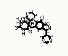 C[C@@H]1OCCN2c3c(cc4c(-c5cncnc5)noc4c3Cl)CC3(C(=O)NC(=O)NC3=O)[C@@H]12